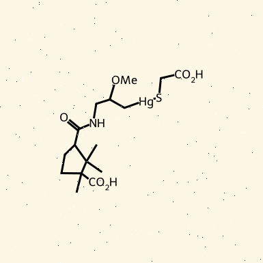 COC(CNC(=O)C1CCC(C)(C(=O)O)C1(C)C)[CH2][Hg][S]CC(=O)O